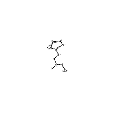 CC(C[O])CSc1ncc[nH]1